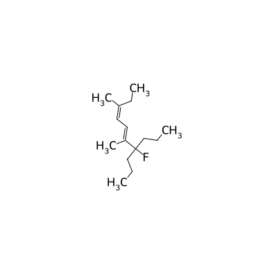 CCCC(F)(CCC)/C(C)=C/C=C(/C)CC